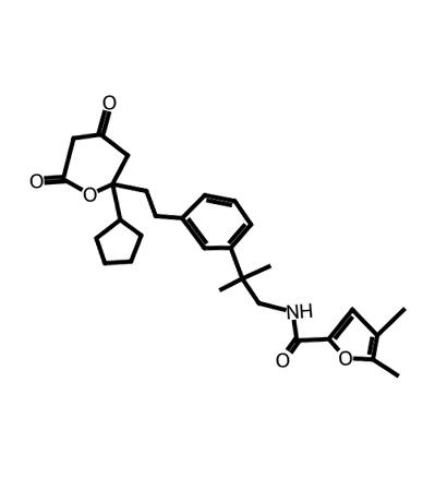 Cc1cc(C(=O)NCC(C)(C)c2cccc(CCC3(C4CCCC4)CC(=O)CC(=O)O3)c2)oc1C